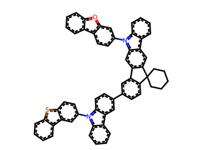 c1ccc2c(c1)oc1cc(-n3c4ccccc4c4cc5c(cc43)-c3cc(-c4ccc6c(c4)c4ccccc4n6-c4ccc6sc7ccccc7c6c4)ccc3C53CCCCC3)ccc12